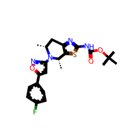 C[C@@H]1Cc2nc(NC(=O)OC(C)(C)C)sc2[C@H](C)N1c1cc(-c2ccc(F)cc2)on1